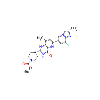 Cc1cn2cc(-c3cc(C)c4nc(C5(F)CCN(C(=O)OC(C)(C)C)CC5)[nH]c(=O)c4n3)cc(F)c2n1